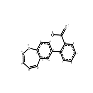 O=C(Cl)c1ccccc1-c1ccc2c(c1)C=CC=NO2